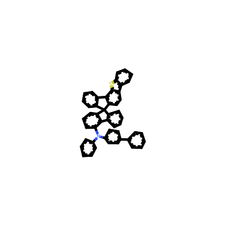 c1ccc(-c2ccc(N(c3ccccc3)c3cccc4c3-c3ccccc3C43c4ccccc4-c4c3ccc3c4sc4ccccc43)cc2)cc1